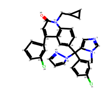 Cn1cncc1C(c1ccc(Cl)cc1)(c1ccc2c(c1)c(-c1cccc(Cl)c1)cc(=O)n2CC1CC1)n1cccn1